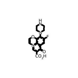 O=C(O)c1cn2c3c(c(N4CCNCC4)c(F)cc3c1=O)OC=C2